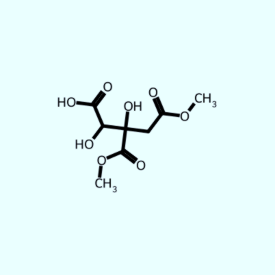 COC(=O)CC(O)(C(=O)OC)C(O)C(=O)O